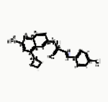 CCCc1cc(N2CCC2)c2cc(NC(=O)/C=C/c3ccc(Cl)cc3)ccc2n1